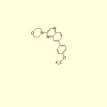 FC(F)(F)Oc1ccc(-c2ccc3ncc(N4CCOCC4)nc3c2)cc1